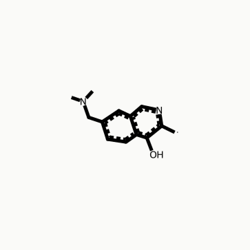 [CH2]c1ncc2cc(CN(C)C)ccc2c1O